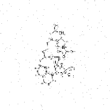 CC(C)CN(CCOCCc1ccc2c(n1)N(C(=O)OC(C)(C)C)CCC2)[C@@H]1CCN(C(=O)OC(C)(C)C)C1